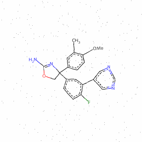 COc1ccc(C2(c3ccc(F)c(-c4cncnc4)c3)COC(N)=N2)cc1C